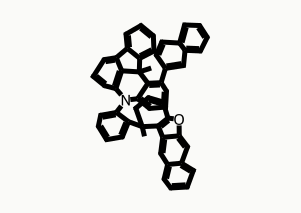 CC1(c2ccccc2N2c3cccc(-c4ccc5ccccc5c4)c3C3(C)c4ccccc4-c4cccc2c43)CC=Cc2oc3cc4ccccc4cc3c21